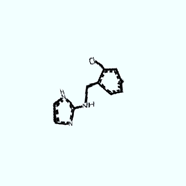 Clc1ccccc1CNc1ncc[nH]1